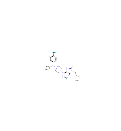 Cc1nc2c(N3C[C@@H](C)N(C(c4ccc(C(F)(F)F)c(F)c4)C4CC(F)(F)C4)C[C@@H]3C)nc(Cl)nc2n1CC1CCCO1